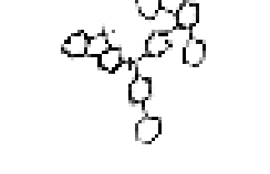 CC1(C)c2ccccc2-c2ccc(N(c3ccc(-c4c(C5CCCCC5)cccc4C4CCCCC4)cc3)c3ccc(C4CCCCC4)cc3)cc21